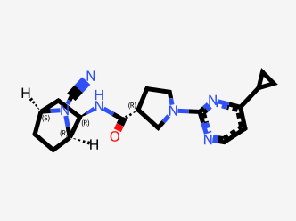 N#CN1[C@H]2CC[C@@H]1[C@H](NC(=O)[C@@H]1CCN(c3nccc(C4CC4)n3)C1)C2